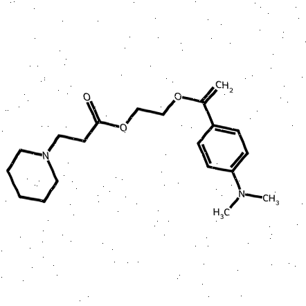 C=C(OCCOC(=O)CCN1CCCCC1)c1ccc(N(C)C)cc1